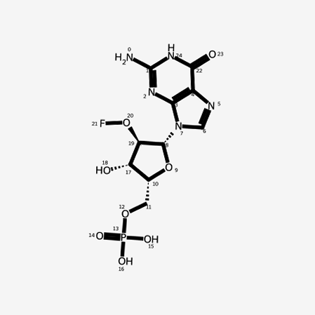 Nc1nc2c(ncn2[C@@H]2O[C@H](COP(=O)(O)O)[C@H](O)[C@H]2OF)c(=O)[nH]1